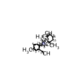 C#Cc1cc(C)ccc1/N=N/N1C(C)(C)CCCC1(C)C